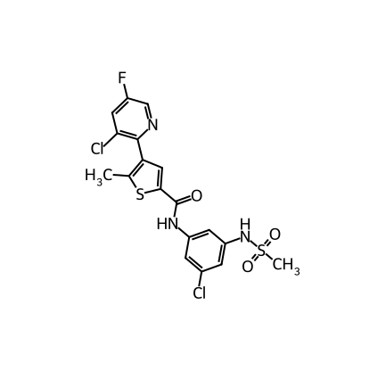 Cc1sc(C(=O)Nc2cc(Cl)cc(NS(C)(=O)=O)c2)cc1-c1ncc(F)cc1Cl